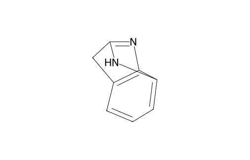 c1cc2c3nc([nH]c3c1)C2